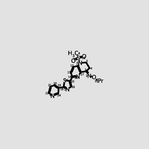 CC(C)O/N=C1\CCN(S(C)(=O)=O)c2ccc(-c3cnc(-c4cccnc4)s3)nc21